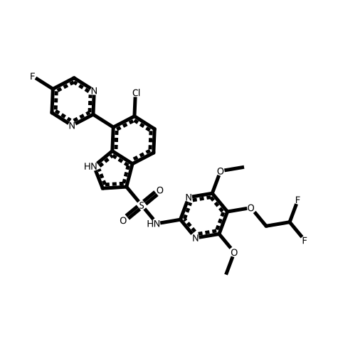 COc1nc(NS(=O)(=O)c2c[nH]c3c(-c4ncc(F)cn4)c(Cl)ccc23)nc(OC)c1OCC(F)F